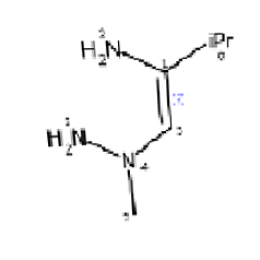 CC(C)/C(N)=C/N(C)N